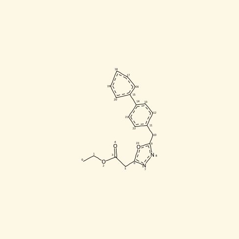 CCOC(=O)Cc1nnc(Cc2ccc(-c3ccccc3)cc2)o1